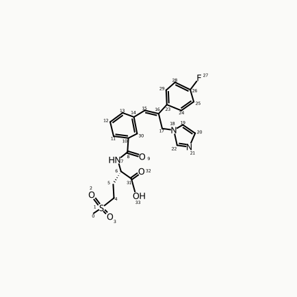 CS(=O)(=O)CC[C@H](NC(=O)c1cccc(C=C(Cn2ccnc2)c2ccc(F)cc2)c1)C(=O)O